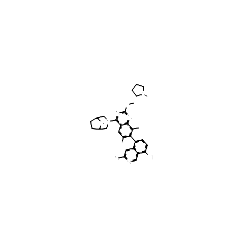 CN1CCC[C@H]1COc1nc(N2CC3CCC(C2)N3)c2cc(Cl)c(-c3ccc(Cl)c4cnc(N)cc34)c(F)c2n1